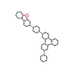 c1ccc(-c2ccc3c(c2)c2ccccc2c2ccc(-c4ccc(-c5ccc6c(c5)oc5ccccc56)cc4)cc23)cc1